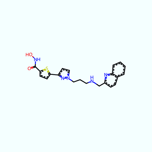 O=C(NO)c1ccc(-c2ccn(CCCNCc3ccc4ccccc4n3)n2)s1